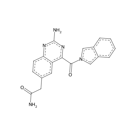 NC(=O)Cc1ccc2nc(N)nc(C(=O)n3cc4ccccc4c3)c2c1